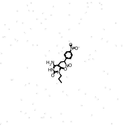 CCCn1c(=O)[nH]c(N)c(CC(N=O)c2ccc([N+](=O)[O-])cc2)c1=O